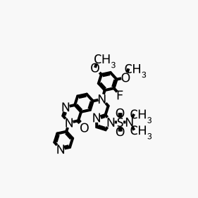 COc1cc(OC)c(F)c(N(Cc2nccn2S(=O)(=O)N(C)C)c2ccc3ncn(-c4ccncc4)c(=O)c3c2)c1